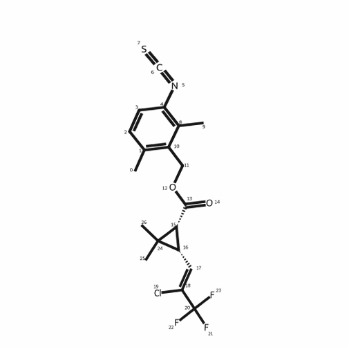 Cc1ccc(N=C=S)c(C)c1COC(=O)[C@@H]1[C@H](C=C(Cl)C(F)(F)F)C1(C)C